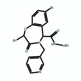 CCCCNC(=O)C1c2cc(Br)ccc2OC(C(C)C)C(=O)N1Cc1cccnc1